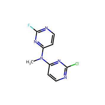 CN(c1ccnc(F)n1)c1ccnc(Cl)n1